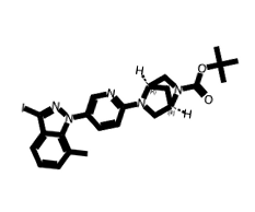 Cc1cccc2c(I)nn(-c3ccc(N4C[C@H]5C[C@@H]4CN5C(=O)OC(C)(C)C)nc3)c12